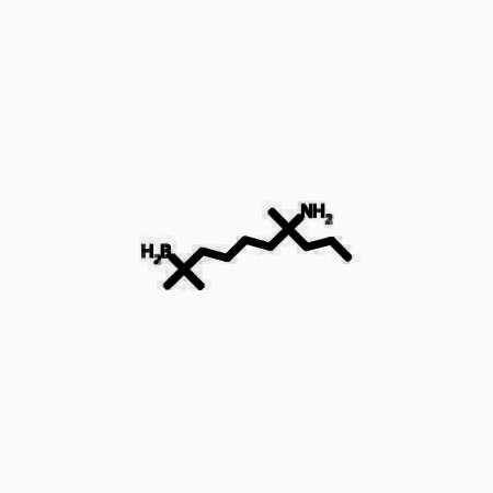 BC(C)(C)CCCCC(C)(N)CCC